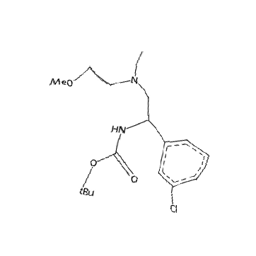 COCCN(C)CC(NC(=O)OC(C)(C)C)c1cccc(Cl)c1